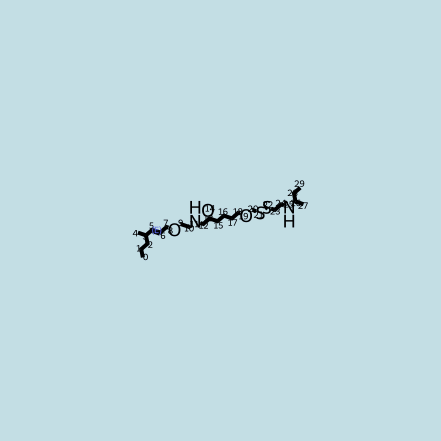 CCCC(C)/C=C/COCCNCC(=O)CCCCOCSSCCNC(C)CC